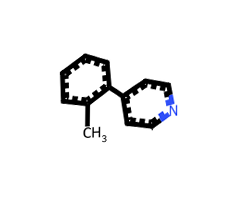 Cc1ccccc1-c1c[c]ncc1